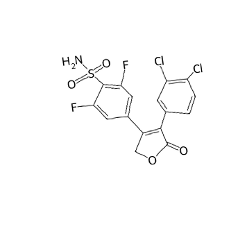 NS(=O)(=O)c1c(F)cc(C2=C(c3ccc(Cl)c(Cl)c3)C(=O)OC2)cc1F